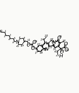 CCCCCCCN1CCC(COC(=O)Oc2ccc3nc4c(c(CC)c3c2)Cn2c-4cc3c(c2=O)COC(=O)[C@]3(O)CC)CC1